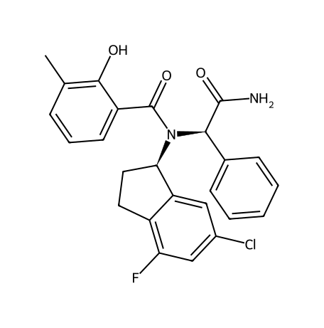 Cc1cccc(C(=O)N([C@@H]2CCc3c(F)cc(Cl)cc32)[C@@H](C(N)=O)c2ccccc2)c1O